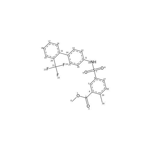 COC(=O)c1cc(S(=O)(=O)Nc2ccc(-c3ccccc3C(F)(F)F)cc2)ccc1C